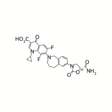 NC(=O)[C@H]1CN(c2ccc3c(c2)CCCN(c2c(F)cc4c(=O)c(C(=O)O)cn(C5CC5)c4c2F)C3)C(=O)O1